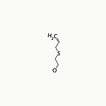 C=CCSCC[O]